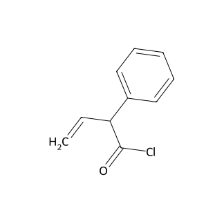 C=CC(C(=O)Cl)c1ccccc1